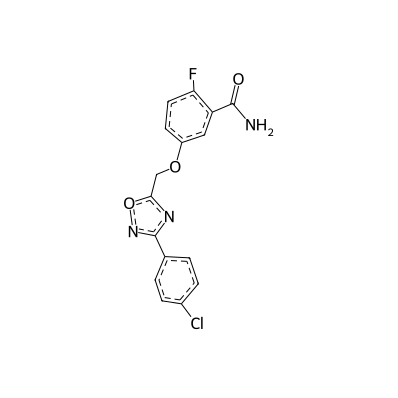 NC(=O)c1cc(OCc2nc(-c3ccc(Cl)cc3)no2)ccc1F